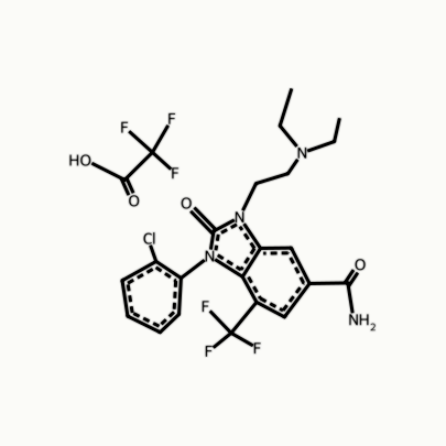 CCN(CC)CCn1c(=O)n(-c2ccccc2Cl)c2c(C(F)(F)F)cc(C(N)=O)cc21.O=C(O)C(F)(F)F